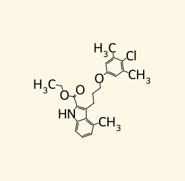 CCOC(=O)c1[nH]c2cccc(C)c2c1CCCOc1cc(C)c(Cl)c(C)c1